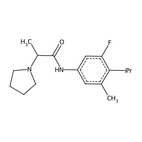 Cc1cc(NC(=O)C(C)N2CCCC2)cc(F)c1C(C)C